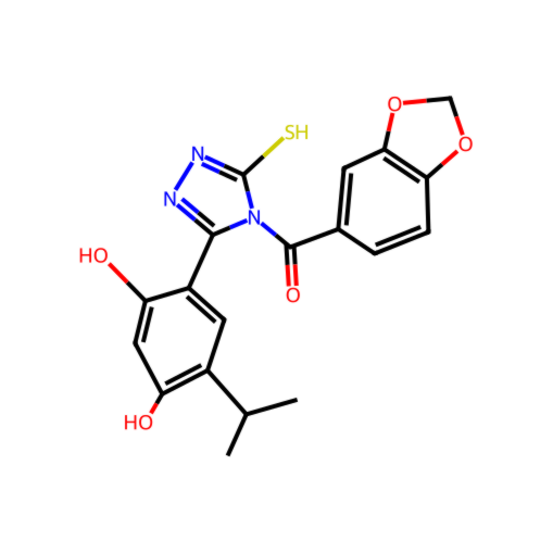 CC(C)c1cc(-c2nnc(S)n2C(=O)c2ccc3c(c2)OCO3)c(O)cc1O